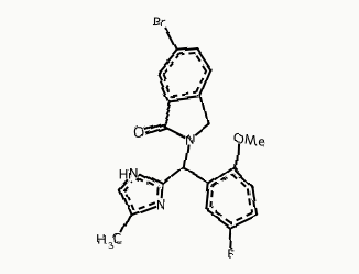 COc1ccc(F)cc1C(c1nc(C)c[nH]1)N1Cc2ccc(Br)cc2C1=O